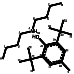 CCCCNCCCC.Cc1cc(C(C)(C)C)c(O)c(C(C)(C)C)c1